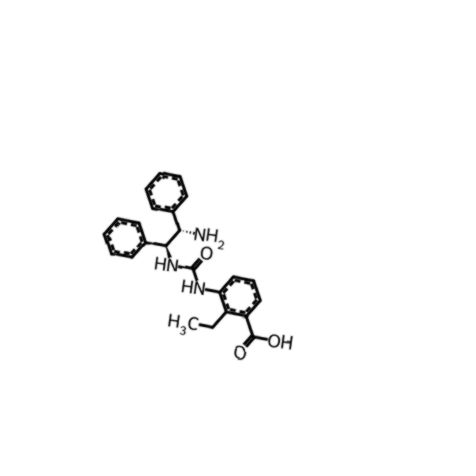 CCc1c(NC(=O)N[C@@H](c2ccccc2)[C@@H](N)c2ccccc2)cccc1C(=O)O